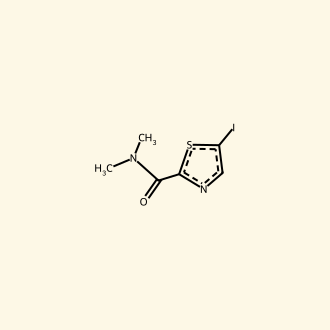 CN(C)C(=O)c1ncc(I)s1